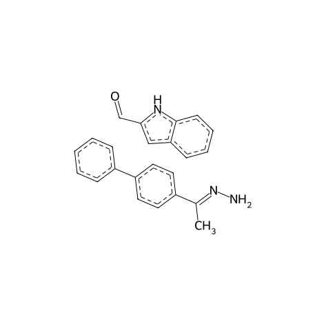 CC(=NN)c1ccc(-c2ccccc2)cc1.O=Cc1cc2ccccc2[nH]1